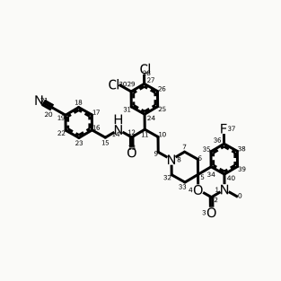 CN1C(=O)OC2(CCN(CCC(C(=O)NCc3ccc(C#N)cc3)c3ccc(Cl)c(Cl)c3)CC2)c2cc(F)ccc21